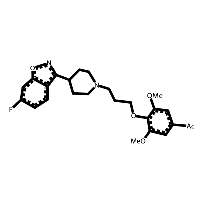 COc1cc(C(C)=O)cc(OC)c1OCCCN1CCC(c2noc3cc(F)ccc23)CC1